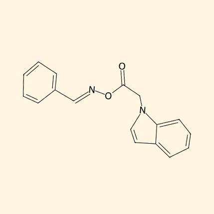 O=C(Cn1ccc2ccccc21)ON=Cc1ccccc1